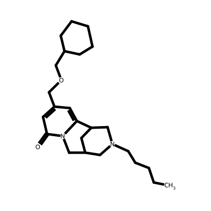 CCCCCN1CC2CC(C1)c1cc(COCC3CCCCC3)cc(=O)n1C2